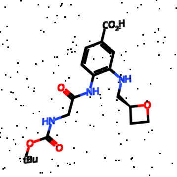 CC(C)(C)OC(=O)NCC(=O)Nc1ccc(C(=O)O)cc1NC[C@@H]1CCO1